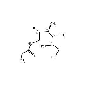 CCC(=O)NC[C@H](O)[C@@H](C)[C@H](C)[C@H](O)CO